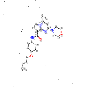 CCCCOC1CCC(NC(=O)c2ccn3c(C)cc(N4CCOCC4)nc23)CC1